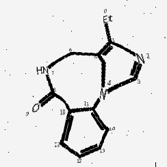 CCc1ncn2c1CNC(=O)c1ccccc1-2